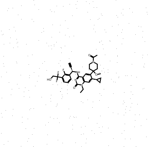 C#C[C@@H](Nc1nc(=O)n(CC)c2cc(C3CC3)c(C3(OC)CCN(C(C)=O)CC3)cc12)c1cccc(C(F)(F)CO)c1F